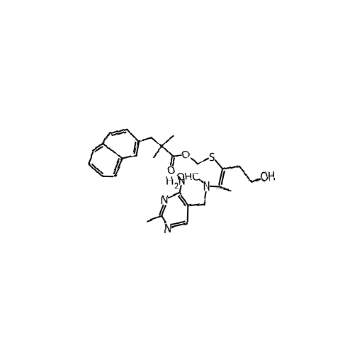 CC(=C(CCO)SCOC(=O)C(C)(C)Cc1ccc2ccccc2c1)N(C=O)Cc1cnc(C)nc1N